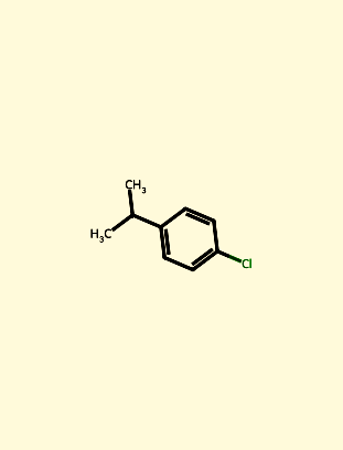 C[C](C)c1ccc(Cl)cc1